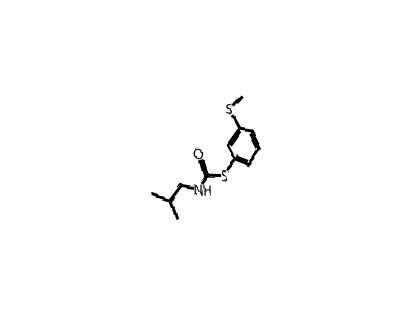 CSc1cccc(SC(=O)NCC(C)C)c1